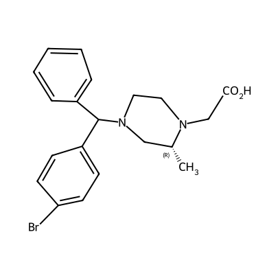 C[C@@H]1CN(C(c2ccccc2)c2ccc(Br)cc2)CCN1CC(=O)O